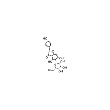 O=C1CC(c2ccc(O)cc2)Oc2cc(O)c(C3O[C@H](CO)[C@@H](O)[C@H](O)[C@H]3O)c(O)c21